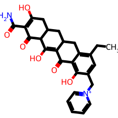 CCc1cc(C[n+]2ccccc2)c(O)c2c1CC1CC3CC(O)=C(C(N)=O)C(=O)C3C(O)=C1C2=O